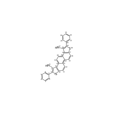 CCCc1c(-c2ccccc2)sc2ccc3c4ccc5sc(-c6ccccc6)c(CCC)c5c4ccc3c12